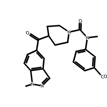 CN(C(=O)N1CCC(C(=O)c2ccc3c(cnn3C)c2)CC1)c1cccc(C(=O)O)c1